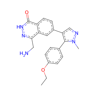 CCOc1ccc(-c2c(-c3ccc4c(=O)[nH]nc(CN)c4c3)cnn2C)cc1